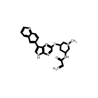 C=CC(=O)NC1CC(Oc2cnc3[nH]cc(-c4ccc5ncccc5c4)c3n2)CN(C)C1